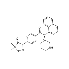 CC1(C)ON=C(c2ccc(C(=O)N(c3nccc4ccccc34)[C@@H]3CCCNC3)cc2)C1=O